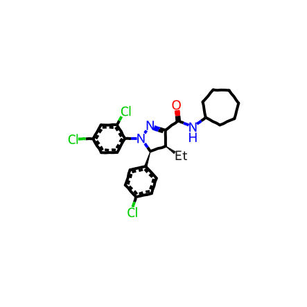 CC[C@@H]1C(C(=O)NC2CCCCCC2)=NN(c2ccc(Cl)cc2Cl)[C@@H]1c1ccc(Cl)cc1